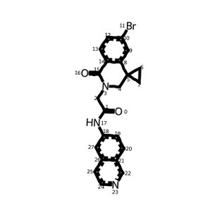 O=C(CN1CC2(CC2)c2cc(Br)ccc2C1=O)Nc1ccc2cnccc2c1